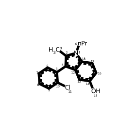 CCCn1c(C)c(-c2ccccc2Cl)c2cc(O)ccc21